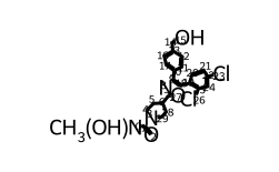 CN(O)C(=O)N1CCC(c2nc(-c3ccc(CO)cc3)c(-c3ccc(Cl)cc3Cl)o2)CC1